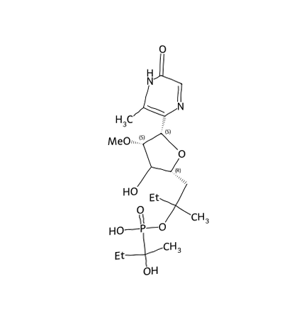 CCC(C)(C[C@H]1O[C@@H](c2ncc(=O)[nH]c2C)[C@@H](OC)C1O)OP(=O)(O)C(C)(O)CC